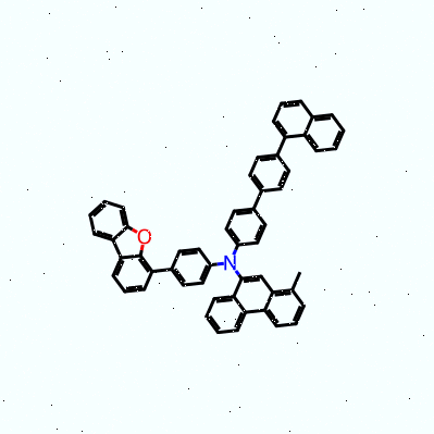 Cc1cccc2c1cc(N(c1ccc(-c3ccc(-c4cccc5ccccc45)cc3)cc1)c1ccc(-c3cccc4c3oc3ccccc34)cc1)c1ccccc12